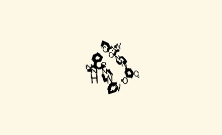 COc1cc(OC)cc(N2CCN(C(=O)c3cncn3-c3ccccc3)CC2)c1.O=C(c1[nH]cnc1-c1ccccc1)N1CCN(c2cccnc2)CC1